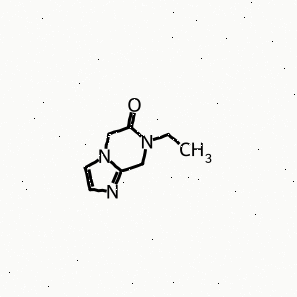 CCN1Cc2nccn2CC1=O